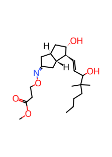 CCCCC(C)(C)C(O)C=C[C@H]1[C@@H]2C/C(=N\OCCC(=O)OC)C[C@H]2C[C@@H]1O